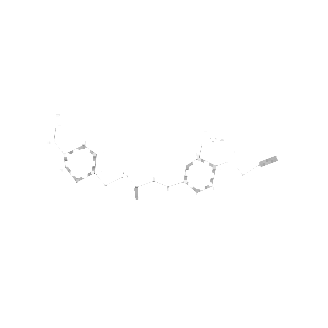 C#CCOc1ccc(CCC(=O)NCc2ccc(CBr)cc2)cc1OC